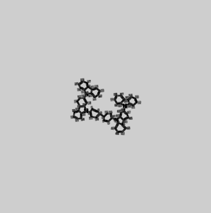 C1=CC(c2ccc(-n3c4c(c5ccccc53)CCC(n3c5ccccc5c5ccccc53)=C4)cc2)CC=C1n1c2ccccc2c2ccc(-n3c4ccccc4c4ccccc43)cc21